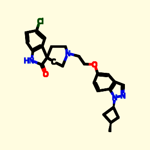 C[C@H]1C[C@@H](n2ncc3cc(OCCN4CCC5(CC4)C(=O)Nc4ccc(Cl)cc45)ccc32)C1